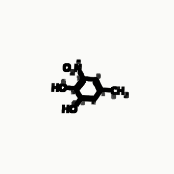 Cc1cc(O)c(O)c([N+](=O)[O-])c1